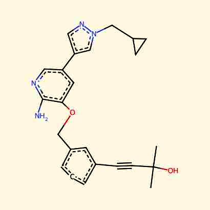 CC(C)(O)C#Cc1cccc(COc2cc(-c3cnn(CC4CC4)c3)cnc2N)c1